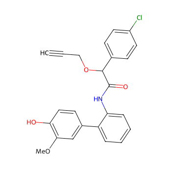 C#CCOC(C(=O)Nc1ccccc1-c1ccc(O)c(OC)c1)c1ccc(Cl)cc1